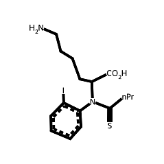 CCCC(=S)N(c1ccccc1I)C(CCCCN)C(=O)O